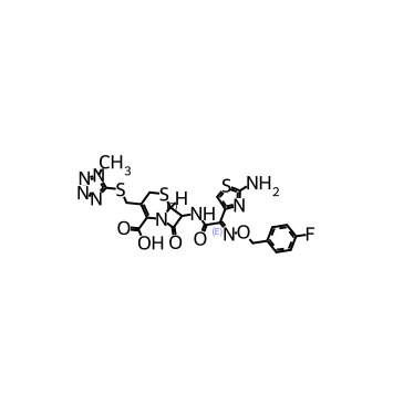 Cn1nnnc1SCC1=C(C(=O)O)N2C(=O)C(NC(=O)/C(=N/OCc3ccc(F)cc3)c3csc(N)n3)[C@H]2SC1